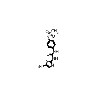 CC(C)c1cnc(NC(=O)Nc2ccc(NS(C)(=O)=O)cc2)s1